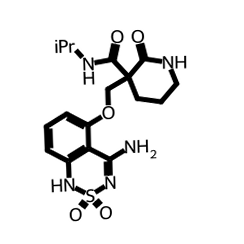 CC(C)NC(=O)C1(COc2cccc3c2C(N)=NS(=O)(=O)N3)CCCNC1=O